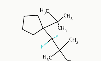 CC(C)(C)C(F)(F)C1(C(C)(C)C)CCCC1